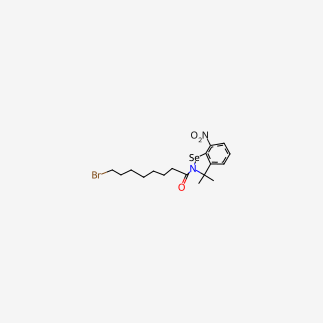 CC1(C)c2cccc([N+](=O)[O-])c2[Se]N1C(=O)CCCCCCCBr